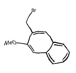 COc1cc2ccccc2cc1CBr